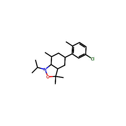 Cc1ccc(Cl)cc1C1CC(C)C2C(C1)C(C)(C)ON2C(C)C